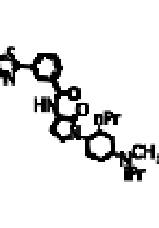 CCC[C@@H]1C[C@H](N(C)C(C)C)CC[C@@H]1N1CCC(NC(=O)c2cccc(-c3nccs3)c2)C1=O